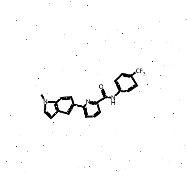 Cn1ccc2cc(-c3cccc(C(=O)Nc4ccc(C(F)(F)F)cc4)n3)ccc21